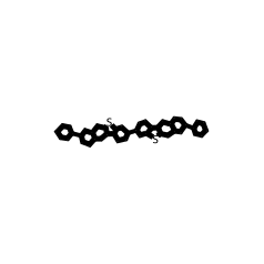 c1ccc(-c2ccc3cc4c(cc3c2)sc2cc(-c3ccc5c(c3)sc3cc6cc(-c7ccccc7)ccc6cc35)ccc24)cc1